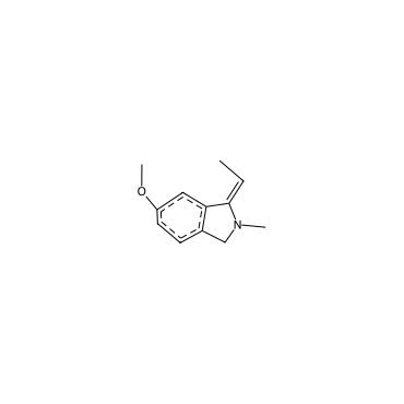 C/C=C1\c2cc(OC)ccc2CN1C